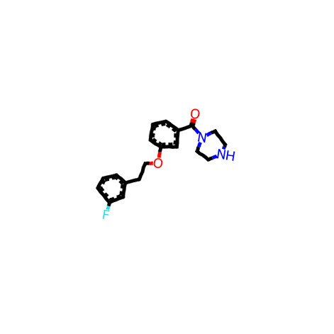 O=C(c1cccc(OCCc2cccc(F)c2)c1)N1CCNCC1